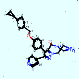 O=C1NC2(CNC2)Cn2nc(-c3ccncc3)c(-c3ccc(OCc4ccc(C5CC5)cc4)cc3)c21